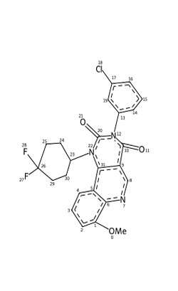 COc1cccc2c1ncc1c(=O)n(-c3cccc(Cl)c3)c(=O)n(C3CCC(F)(F)CC3)c12